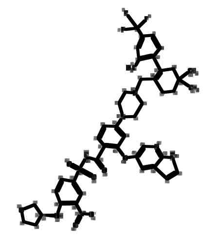 Cc1cc(C(F)(F)F)ccc1C1=C(CN2CCN(c3ccc(C(=O)NS(=O)(=O)c4ccc(N[C@H]5CCOC5)c([N+](=O)[O-])c4)c(Oc4cnc5[nH]ccc5c4)c3)CC2)CCC(C)(C)C1